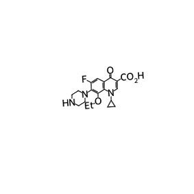 CCOc1c(N2CCNCC2)c(F)cc2c(=O)c(C(=O)O)cn(C3CC3)c12